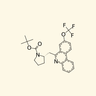 CC(C)(C)OC(=O)N1CCC[C@H]1Cc1nc2ccccc2c2ccc(OC(F)(F)F)cc12